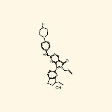 C=CCn1c(=O)c2cnc(Nc3ccc(N4CCNCC4)cc3)nc2n1-c1ccc2c(n1)[C@@](O)(CC)CC2